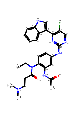 CCN(C(=O)CCN(C)C)c1ccc(Nc2ncc(Cl)c(-c3c[nH]c4ccccc34)n2)cc1NC(C)=O